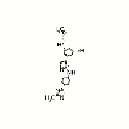 COCCNc1cc(C#N)cc(-c2ccnc(Nc3ccc(-n4cnc(C)n4)cc3)n2)c1